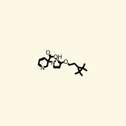 CC1(C)C(CCOc2ccn(C3(C(=O)O)C=CC=NC3)n2)C1(C)C